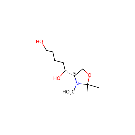 CC1(C)OC[C@@H](C(O)CCCCO)N1C(=O)O